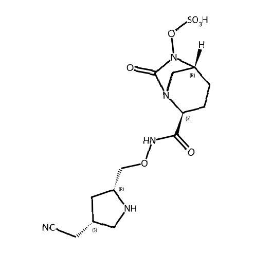 N#CC[C@H]1CN[C@@H](CONC(=O)[C@@H]2CC[C@@H]3CN2C(=O)N3OS(=O)(=O)O)C1